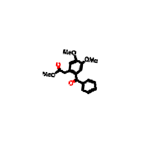 COC(=O)Cc1cc(OC)c(OC)cc1C(=O)c1ccccc1